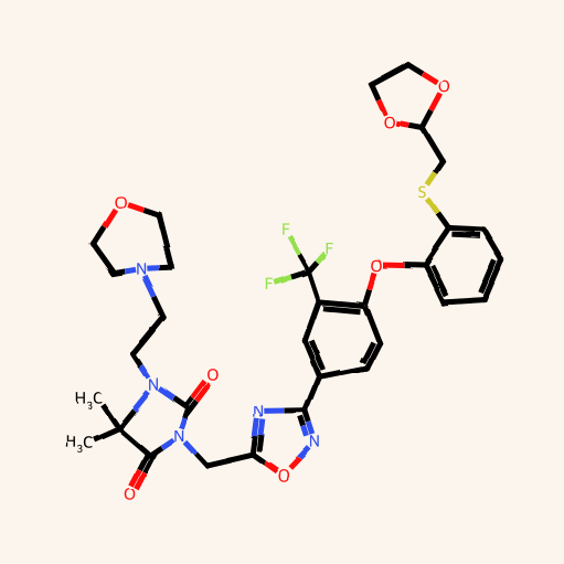 CC1(C)C(=O)N(Cc2nc(-c3ccc(Oc4ccccc4SCC4OCCO4)c(C(F)(F)F)c3)no2)C(=O)N1CCN1CCOCC1